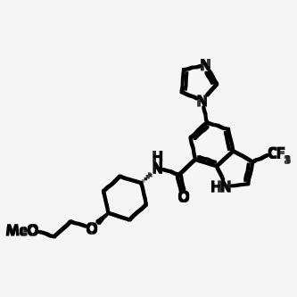 COCCO[C@H]1CC[C@H](NC(=O)c2cc(-n3ccnc3)cc3c(C(F)(F)F)c[nH]c23)CC1